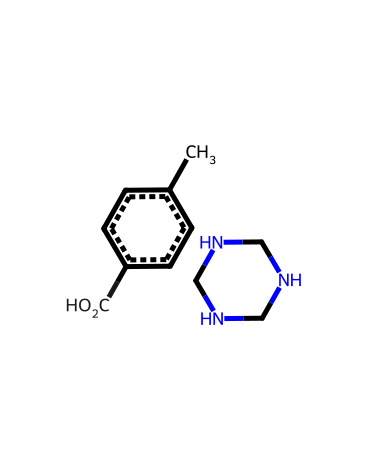 C1NCNCN1.Cc1ccc(C(=O)O)cc1